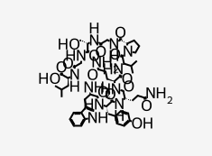 CC(C)C[C@H](NC(=O)CNC(=O)[C@H](CO)NC(=O)CNC(=O)[C@@H]1CCCN1C(=O)[C@@H](NC(=O)[C@H](CCC(N)=O)NC(=O)[C@H](CCC(N)=O)NC(=O)[C@H](Cc1ccc(O)cc1)NC(=O)[C@@H](N)Cc1c[nH]c2ccccc12)C(C)C)C(=O)O